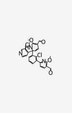 COC1=C(C=O)C=CC(c2ccncc2Cl)(c2cccc(-c3ccc(C=O)c(OC)n3)c2Cl)N1